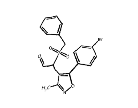 Cc1noc(-c2ccc(Br)cc2)c1C(C=O)S(=O)(=O)Cc1ccccc1